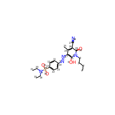 CCCCn1c(O)c(/N=N/c2ccc(S(=O)(=O)N(CC)CC)cc2)c(C)c(C#N)c1=O